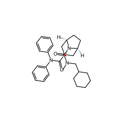 CN(CC1CCCCC1)C(=O)N1[C@@H]2CC[C@H]1CN(C(=O)N(c1ccccc1)c1ccccc1)C2